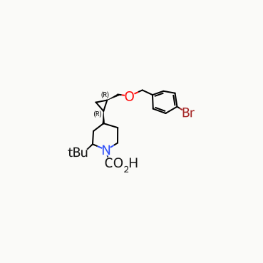 CC(C)(C)C1CC([C@H]2C[C@H]2COCc2ccc(Br)cc2)CCN1C(=O)O